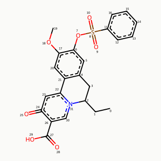 CCC1Cc2cc(OS(=O)(=O)c3ccccc3)c(OC)cc2-c2cc(=O)c(C(=O)O)cn21